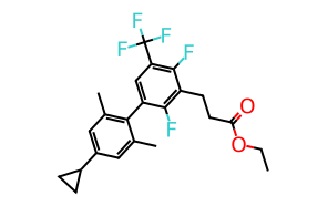 CCOC(=O)CCc1c(F)c(-c2c(C)cc(C3CC3)cc2C)cc(C(F)(F)F)c1F